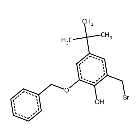 CC(C)(C)c1cc(CBr)c(O)c(OCc2ccccc2)c1